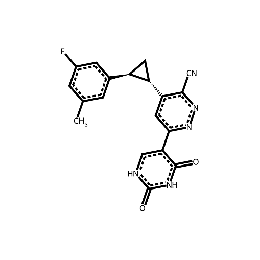 Cc1cc(F)cc([C@H]2C[C@@H]2c2cc(-c3c[nH]c(=O)[nH]c3=O)nnc2C#N)c1